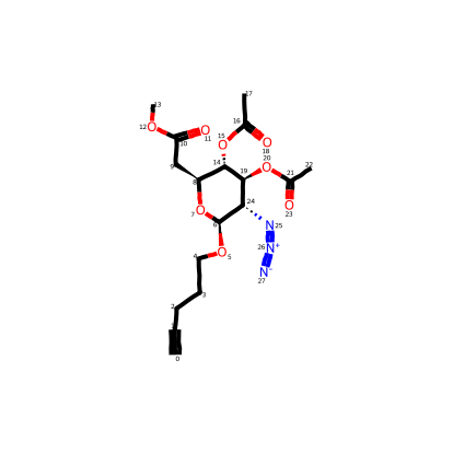 C#CCCCO[C@H]1O[C@@H](CC(=O)OC)[C@H](OC(C)=O)[C@@H](OC(C)=O)[C@@H]1N=[N+]=[N-]